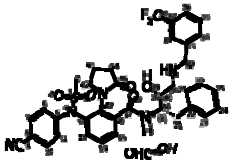 CS(=O)(=O)N(c1ccc(C#N)cc1)c1cccc(C(=O)N[C@@H](Cc2ccccc2)[C@H](O)CNCc2cccc(C(F)(F)F)c2)c1N1CCCC1=O.O=CO